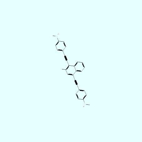 Cc1cc(C#Cc2ccc(N(C)C)cc2)c2ccccc2c1C#Cc1ccc(N(C)C)cc1